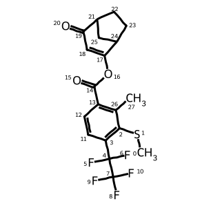 CSc1c(C(F)(F)C(F)(F)F)ccc(C(=O)OC2=CC(=O)C3CCC2C3)c1C